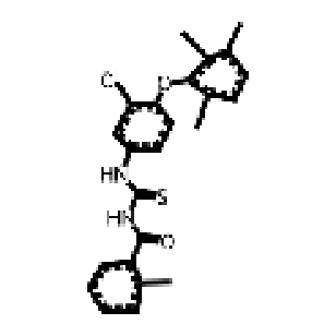 Cc1ccccc1C(=O)NC(=S)Nc1ccc(Oc2c(C)ccc(C)c2C)c(Cl)c1